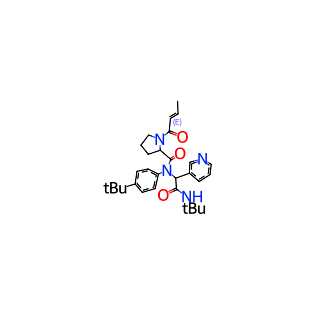 C/C=C/C(=O)N1CCCC1C(=O)N(c1ccc(C(C)(C)C)cc1)C(C(=O)NC(C)(C)C)c1cccnc1